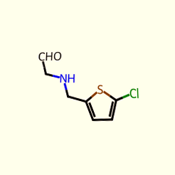 O=CCNCc1ccc(Cl)s1